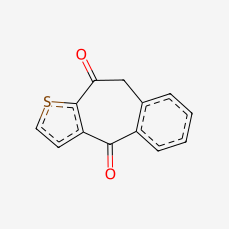 O=C1c2ccccc2CC(=O)c2sccc21